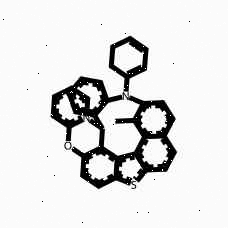 Cc1c2ccc3ccc4sc5ccc6c(c5c4c13)C(c1ccccc1N2C1=CC=CCC1)[n+]1ccccc1O6